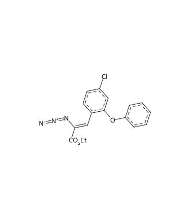 CCOC(=O)C(=Cc1ccc(Cl)cc1Oc1ccccc1)N=[N+]=[N-]